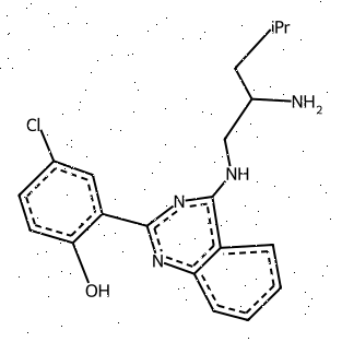 CC(C)CC(N)CNc1nc(-c2cc(Cl)ccc2O)nc2ccccc12